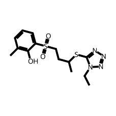 CCn1nnnc1SC(C)CCS(=O)(=O)c1cccc(C)c1O